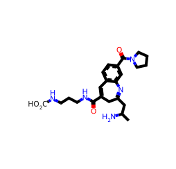 CC(N)CC1=Nc2cc(C(=O)N3CCCC3)ccc2C=C(C(=O)NCCCNC(=O)O)C1